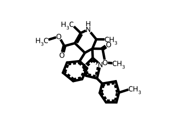 COC(=O)C1=C(C)NC(C)C(C(=O)OC)(c2nc(-c3cccc(C)c3)cs2)C1c1ccccc1